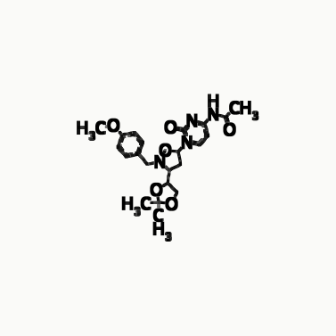 COc1ccc(CN2OC(n3ccc(NC(C)=O)nc3=O)CC2C2COC(C)(C)O2)cc1